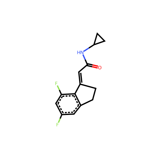 O=C(C=C1CCc2cc(F)cc(F)c21)NC1CC1